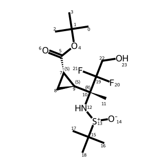 CC(C)(C)OC(=O)[C@H]1C[C@@H]1[C@@](C)(N[S+]([O-])C(C)(C)C)C(F)(F)CO